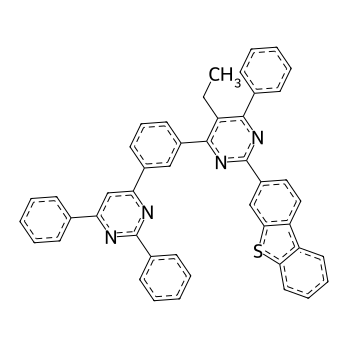 CCc1c(-c2ccccc2)nc(-c2ccc3c(c2)sc2ccccc23)nc1-c1cccc(-c2cc(-c3ccccc3)nc(-c3ccccc3)n2)c1